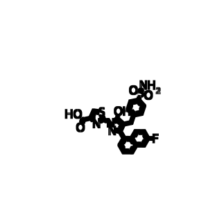 NS(=O)(=O)c1ccc(Cc2c(-c3cccc4cc(F)ccc34)nn(-c3nc(C(=O)O)cs3)c2O)cc1